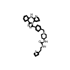 O=C(NCCc1cccs1)NC1CCN(Cc2ccc(-c3nnc4n3-c3cccnc3Nc3ccccc3-4)cc2)CC1